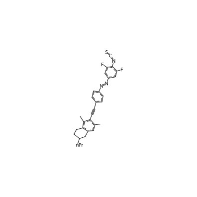 CCCC1CCc2c(cc(C)c(C#Cc3ccc(N=Nc4cc(F)c(N=C=S)c(F)c4)cc3)c2C)C1